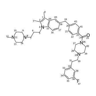 Cc1c(C)n(CCCN2CCN(C)CC2)c2ccc(Cc3ccc(C(=O)N4CCN(CCc5cccc(F)c5)CC4)cc3)cc12